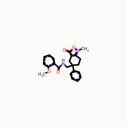 COc1ccccc1C(=O)NCC1(c2ccccc2)CCc2c(c(=O)on2C)C1